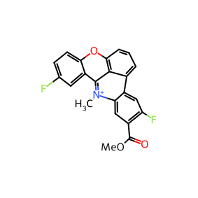 COC(=O)c1cc2c(cc1F)c1cccc3c1c([n+]2C)-c1cc(F)ccc1O3